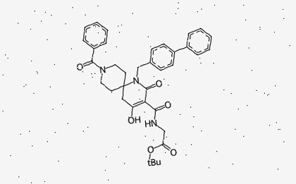 CC(C)(C)OC(=O)CNC(=O)C1=C(O)CC2(CCN(C(=O)c3ccccc3)CC2)N(Cc2ccc(-c3ccccc3)cc2)C1=O